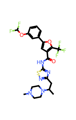 CC(Cc1nsc(NC(=O)c2cc(-c3cccc(OC(F)F)c3)oc2C(F)(F)F)n1)N1CCN(C)CC1